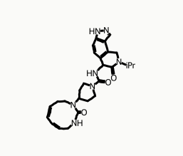 CC(C)N1Cc2c(ccc3[nH]ncc23)C(NC(=O)N2CCC(N3CC/C=C\C=C/CNC3=O)CC2)C1=O